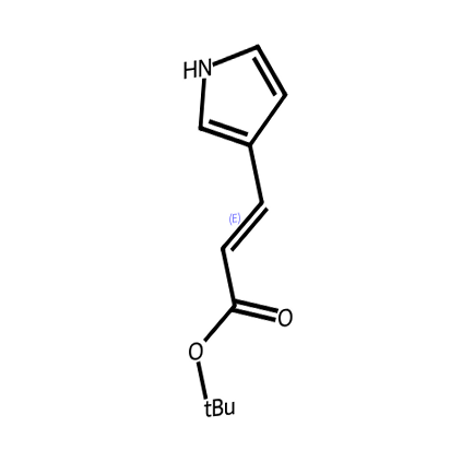 CC(C)(C)OC(=O)/C=C/c1cc[nH]c1